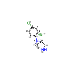 Br.Clc1ccc(N2CC3CC2CN3)cc1